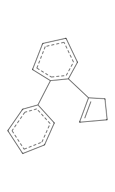 C1=C(c2ccccc2-c2ccccc2)CC1